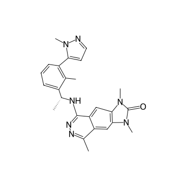 Cc1c(-c2ccnn2C)cccc1[C@@H](C)Nc1nnc(C)c2cc3c(cc12)n(C)c(=O)n3C